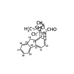 C[SiH](C)[Ti]([Cl])([Cl])([NH]C=O)[c]1cccc2c1Cc1ccccc1-2